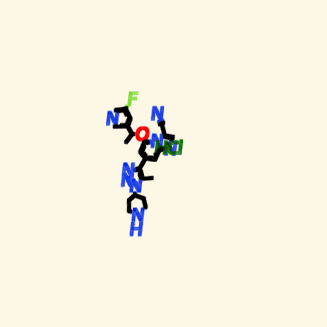 Cc1c(-c2cc(OC(C)c3cncc(F)c3)n3c(C#N)cnc3c2)nnn1C1CCNCC1.Cl